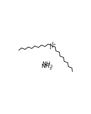 CCCCCCCCCC[N+](C)(C)CCCCCCCCCC.N.N